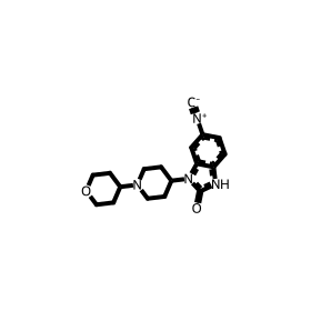 [C-]#[N+]c1ccc2[nH]c(=O)n(C3CCN(C4CCOCC4)CC3)c2c1